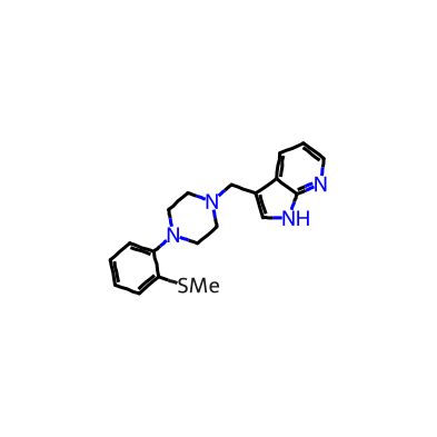 CSc1ccccc1N1CCN(Cc2c[nH]c3ncccc23)CC1